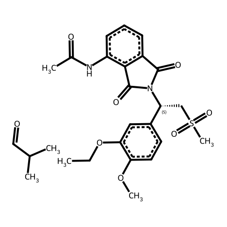 CC(C)C=O.CCOc1cc([C@@H](CS(C)(=O)=O)N2C(=O)c3cccc(NC(C)=O)c3C2=O)ccc1OC